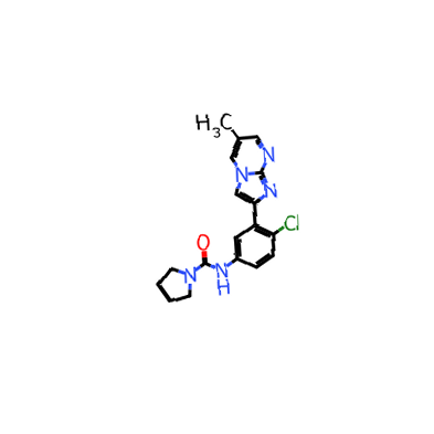 Cc1cnc2nc(-c3cc(NC(=O)N4CCCC4)ccc3Cl)cn2c1